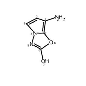 Nc1ccn2nc(O)oc12